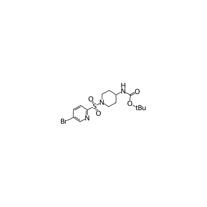 CC(C)(C)OC(=O)NC1CCN(S(=O)(=O)c2ccc(Br)cn2)CC1